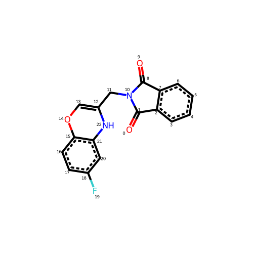 O=C1c2ccccc2C(=O)N1CC1=COc2ccc(F)cc2N1